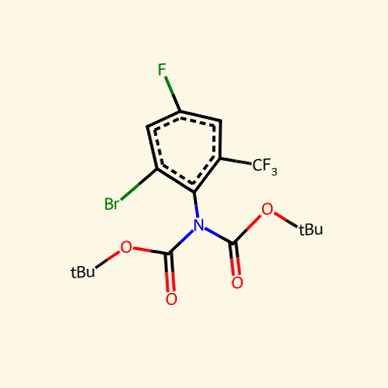 CC(C)(C)OC(=O)N(C(=O)OC(C)(C)C)c1c(Br)cc(F)cc1C(F)(F)F